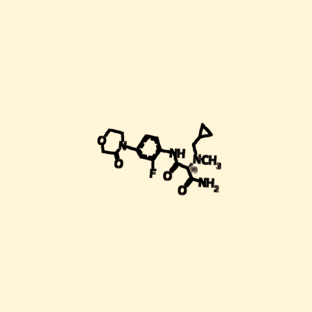 CN(CC1CC1)[C@H](C(N)=O)C(=O)Nc1ccc(N2CCOCC2=O)cc1F